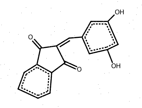 O=C1C(=Cc2cc(O)cc(O)c2)C(=O)c2ccccc21